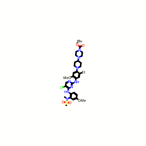 CCc1cc(Nc2ncc(Cl)c(Nc3ccc(OC)cc3N(C)S(C)(=O)=O)n2)c(OC)cc1N1CCC(N2CCN(C(=O)OC(C)(C)C)CC2)CC1